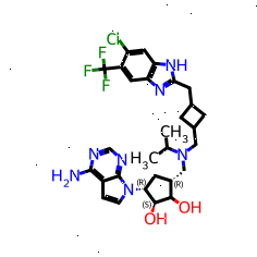 CC(C)N(CC1CC(Cc2nc3cc(C(F)(F)F)c(Cl)cc3[nH]2)C1)C[C@H]1C[C@@H](n2ccc3c(N)ncnc32)[C@H](O)C1O